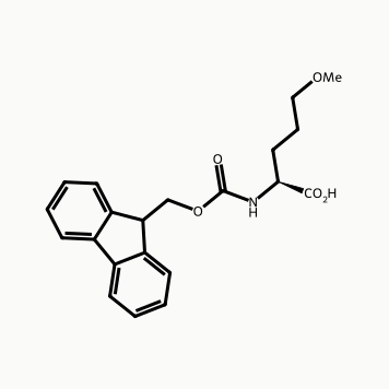 COCCC[C@H](NC(=O)OCC1c2ccccc2-c2ccccc21)C(=O)O